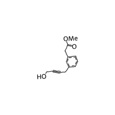 COC(=O)Cc1cccc(CC#CCO)c1